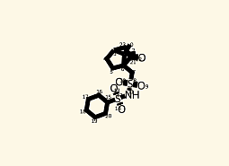 CC1(C)C2CCC1(CS(=O)(=O)NS(=O)(=O)C1CCCCC1)C(=O)C2